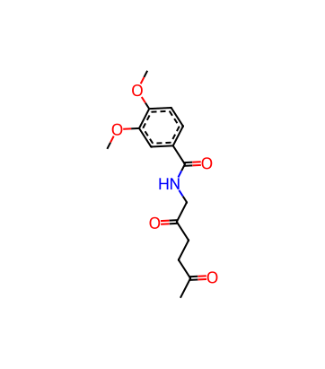 COc1ccc(C(=O)NCC(=O)CCC(C)=O)cc1OC